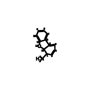 NC1C=CC=C2c3ccccc3OC21